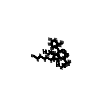 CCCCCCc1sc(C(=O)C(C)N)c(C(=O)c2ccccc2C)c1N